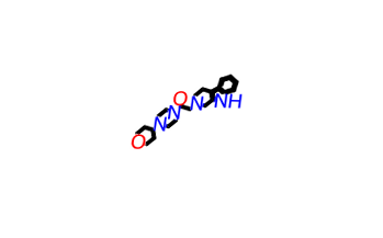 O=C(CN1CCc2c([nH]c3ccccc23)C1)N1CCN(C2CCOCC2)CC1